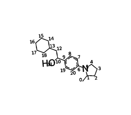 CC1CCCN1c1ccc(C(O)CC2CCCCC2)cc1